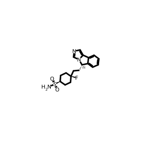 NS(=O)(=O)[C@H]1CC[C@](F)(CC[C@H]2c3ccccc3-c3cncn32)CC1